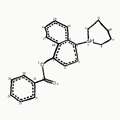 O=C(Oc1ccc([SH]2CCCCC2)c2ccccc12)c1ccccc1